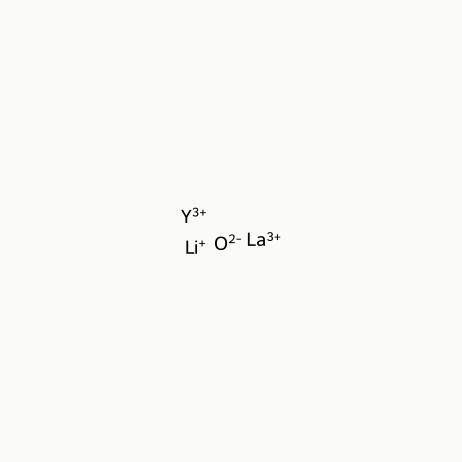 [La+3].[Li+].[O-2].[Y+3]